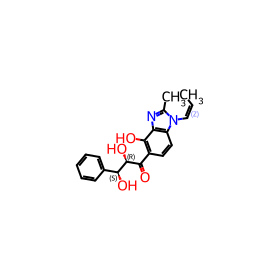 C/C=C\n1c(C)nc2c(O)c(C(=O)[C@H](O)[C@@H](O)c3ccccc3)ccc21